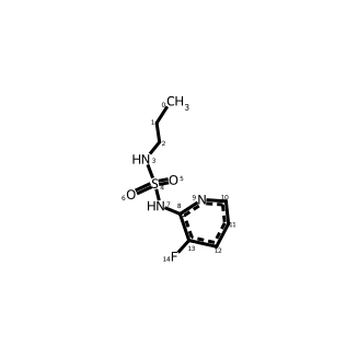 CCCNS(=O)(=O)Nc1ncccc1F